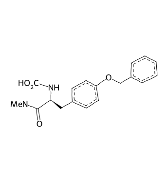 CNC(=O)[C@H](Cc1ccc(OCc2ccccc2)cc1)NC(=O)O